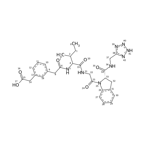 CCC(C)C(NC(=O)Cc1cccc(CC(=O)O)c1)C(=O)NCC(=O)N1c2ccccc2C[C@H]1C(=O)NCc1nn[nH]n1